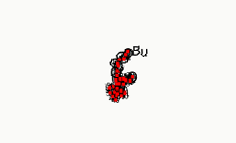 CCCCOCC(C)OC(=O)CCC(=O)OCCOc1ccc(C2(c3ccc(N4CCOCC4)cc3)C=Cc3c4c(c5ccccc5c3O2)-c2ccccc2C42CCCCCCC2)cc1